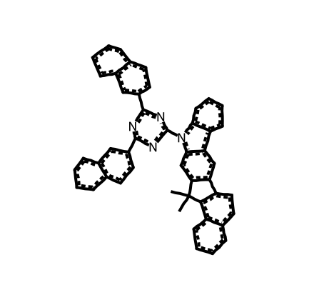 CC1(C)c2cc3c(cc2-c2ccc4ccccc4c21)c1ccccc1n3-c1nc(-c2ccc3ccccc3c2)nc(-c2ccc3ccccc3c2)n1